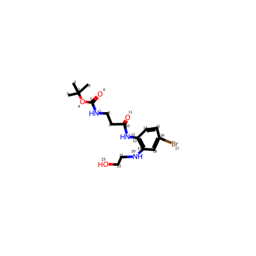 CC(C)(C)OC(=O)NCCC(=O)Nc1ccc(Br)cc1NCCO